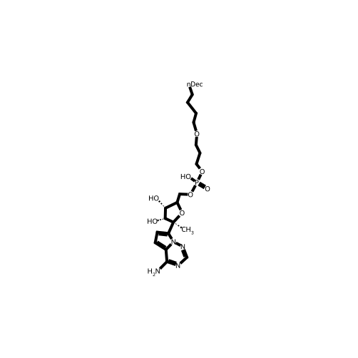 CCCCCCCCCCCCCCOCCCOP(=O)(O)OCC1O[C@@](C)(c2ccc3c(N)ncnn23)[C@H](O)[C@@H]1O